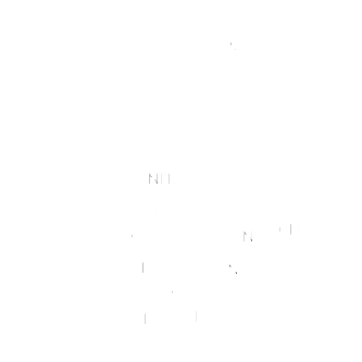 Cn1cc(C(=O)NC2=C(c3ccc(Cl)cc3)CCCC2)c(C(F)(F)F)n1